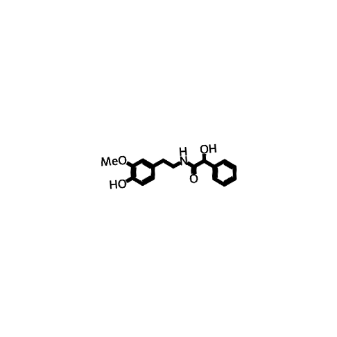 COc1cc(CCNC(=O)C(O)c2ccccc2)ccc1O